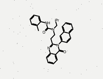 Cc1ccccc1NC(=O)N(CCc1nc2ccccc2c(=O)n1-c1ccc2ccccc2c1)CC(C)C